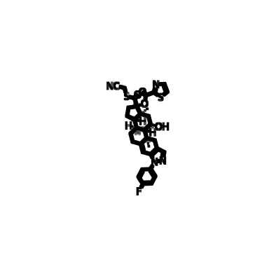 C[C@]12Cc3cnn(-c4ccc(F)cc4)c3C=C1CC[C@@H]1[C@@H]2[C@@H](O)C[C@@]2(C)[C@H]1CC[C@]2(OC(=O)c1nccs1)C(=O)SCC#N